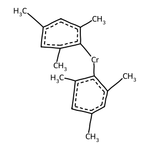 Cc1cc(C)[c]([Cr][c]2c(C)cc(C)cc2C)c(C)c1